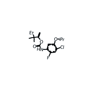 C=C(OC(=O)Nc1cc(OC(C)C)c(Cl)cc1F)C(C)(C)CC